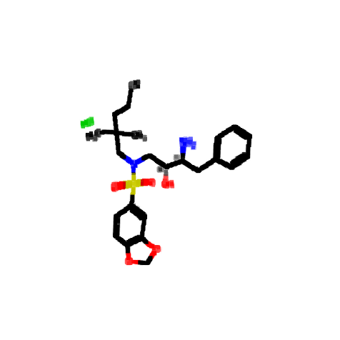 CC(C)(CCC#N)CN(C[C@@H](O)[C@@H](N)Cc1ccccc1)S(=O)(=O)c1ccc2c(c1)OCO2.Cl